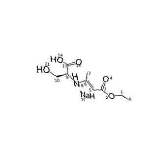 CCOC(=O)/C=C(\C)N[C@@H](CO)C(=O)O.[NaH]